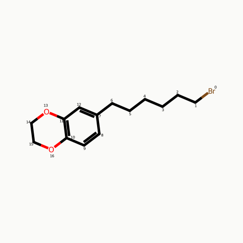 BrCCCCCCc1ccc2c(c1)OCCO2